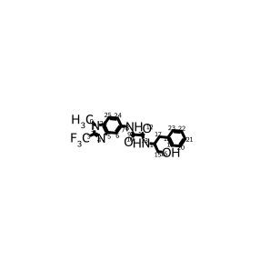 Cn1c(C(F)(F)F)nc2cc(NC(=O)C(=O)NC(CO)Cc3ccccc3)ccc21